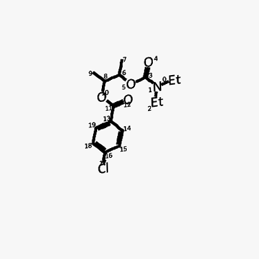 CCN(CC)C(=O)OC(C)C(C)OC(=O)c1ccc(Cl)cc1